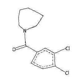 O=C(c1ccc(Cl)c(Cl)c1)N1CCCCC1